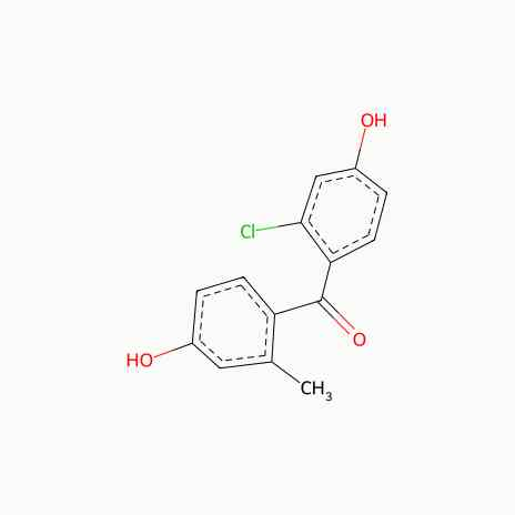 Cc1cc(O)ccc1C(=O)c1ccc(O)cc1Cl